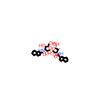 C[C@@H]1C(NC(=O)c2ccc3ccccc3c2)C(O)[C@H](S[C@@H]2OC(CO)[C@H](O)C(NC(=O)c3ccc4ccccc4c3)[C@@H]2O)O[C@@H]1CO